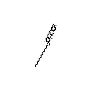 CCCCCCCCCCCCCCOc1ccc(CN(Cc2ccc[n+](C)c2)C(C)=O)cc1.[I-]